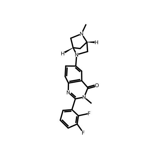 CN1C[C@@H]2C[C@H]1CN2c1ccc2nc(-c3cccc(F)c3F)n(C)c(=O)c2c1